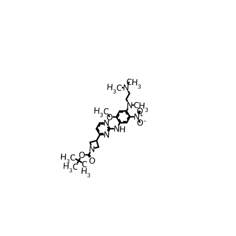 COc1cc(N(C)CCN(C)C)c([N+](=O)[O-])cc1Nc1nccc(C2CN(C(=O)OC(C)(C)C)C2)n1